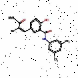 COC(=O)C(C#N)=Cc1ccc(O)c(C(=O)Nc2cc(C(F)(F)F)cc(C(F)(F)F)c2)c1